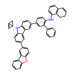 C1=Cc2cccc(Nc3ccc(-c4ccc5c(c4)c4cc(-c6ccc7oc8ccccc8c7c6)ccc4n5[C@]45C=C4C5)cc3-c3ccccc3)c2CC1